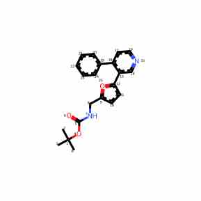 CC(C)(C)OC(=O)NCc1ccc(-c2cnccc2-c2ccccc2)o1